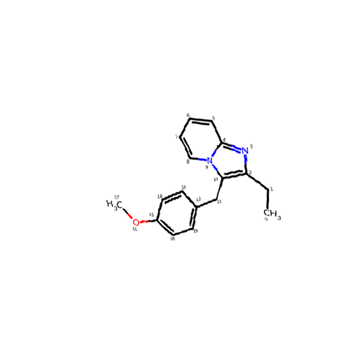 CCc1nc2ccccn2c1Cc1ccc(OC)cc1